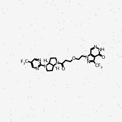 O=C(CCOCCn1nc(C(F)(F)F)c2c(=O)[nH]ncc21)N1CC[C@H]2[C@@H]1CCN2c1ncc(C(F)(F)F)cn1